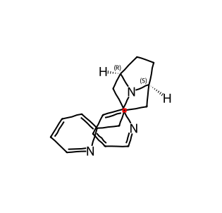 c1ccc(CC2C[C@H]3CC[C@@H](C2)N3c2ccccn2)nc1